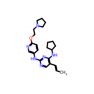 C/C=C/c1cnc(Nc2ccc(OCCN3CCCC3)nc2)nc1NC1CCCC1